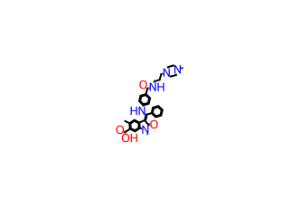 Cc1cc2c(cc1C(=O)O)N(C)C(=O)C2=C(Nc1ccc(C(=O)NCCCN2CCN(C)CC2)cc1)c1ccccc1